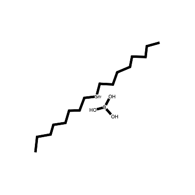 CCCCCCC[CH2][Sn][CH2]CCCCCCC.OB(O)O